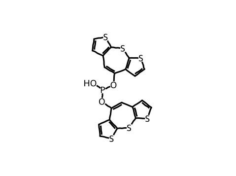 OP(OC1=Cc2ccsc2Sc2sccc21)OC1=Cc2ccsc2Sc2sccc21